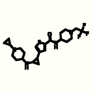 O=C(NC1CCN(CC(F)(F)F)CC1)c1cc(C2CC2NC2CCN(C3CC3)CC2)cs1